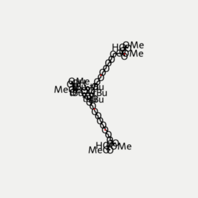 COC(=O)C(O)COC(COCCOCCOCCOCCOCCOCCOCCOCCOCCOc1c(C(c2cc(C(C)(C)C)cc(C(C)(C)C)c2OCCOCCOCCOCCOCCOCCOCCOCCOCCOCC(OCC(O)C(=O)OC)C(=O)OC)c2cc(C(C)(C)C)cc(C(C)(C)C)c2OCCOCC(OCC(O)C(=O)OC)C(=O)OC)cc(C(C)(C)C)cc1C(C)(C)C)C(=O)OC